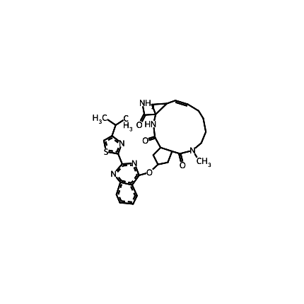 CC(C)c1csc(-c2nc(OC3CC4C(=O)NC5(C(N)=O)CC5C=CCCCCN(C)C(=O)C4C3)c3ccccc3n2)n1